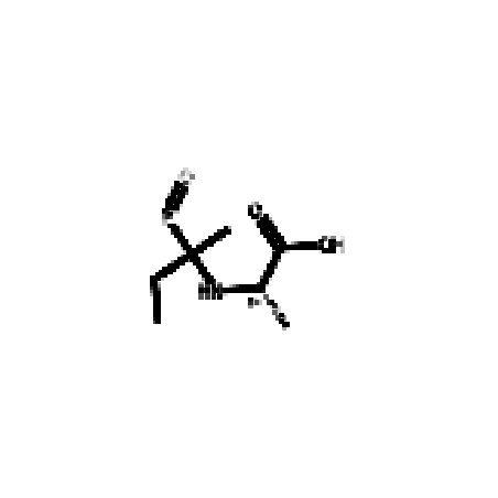 CCC(C)(N[C@@H](C)C(=O)O)P=O